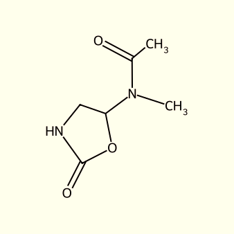 CC(=O)N(C)C1CNC(=O)O1